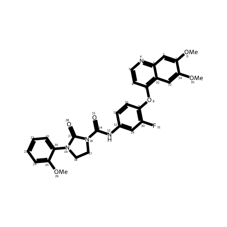 COc1cc2nccc(Oc3ccc(NC(=O)N4CCN(c5ccccc5OC)C4=O)cc3F)c2cc1OC